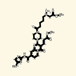 CN(CCCCC(=O)N1CCN(c2nc3cc(C(=O)Nc4nc(C(C)(C)C)cs4)ccn3c(=O)c2/C=C/C(=O)OC(C)(C)C)CC1)CC(=O)OC(C)(C)C